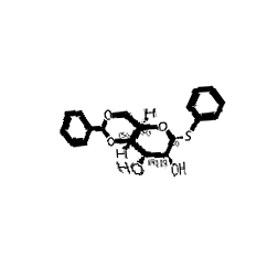 O[C@@H]1[C@H](O)[C@@H](Sc2ccccc2)O[C@@H]2COC(c3ccccc3)O[C@@H]12